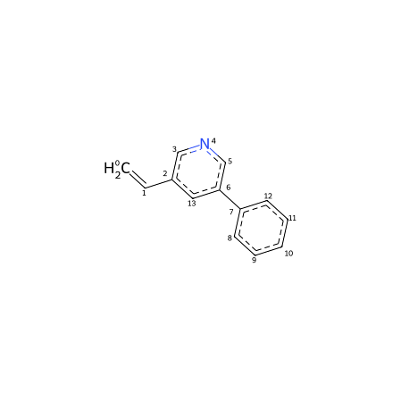 C=Cc1cncc(-c2ccccc2)c1